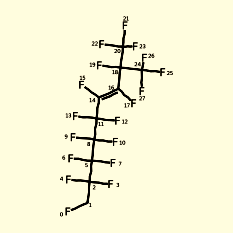 FCC(F)(F)C(F)(F)C(F)(F)C(F)(F)C(F)=C(F)C(F)(C(F)(F)F)C(F)(F)F